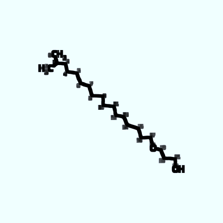 CC(C)CCCCCCCCCCCCCCCOCCCO